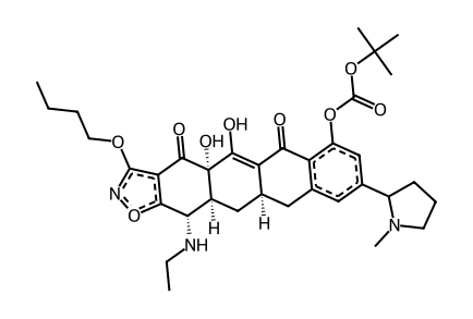 CCCCOc1noc2c1C(=O)[C@@]1(O)C(O)=C3C(=O)c4c(cc(C5CCCN5C)cc4OC(=O)OC(C)(C)C)C[C@H]3C[C@H]1[C@@H]2NCC